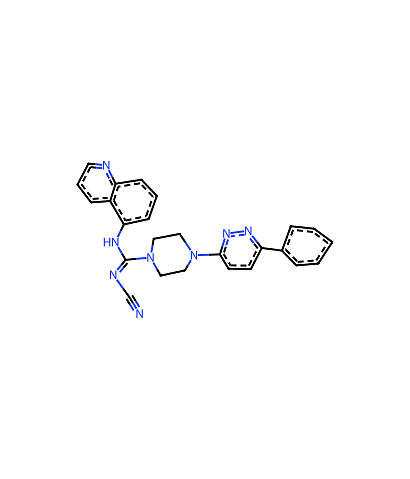 N#C/N=C(/Nc1cccc2ncccc12)N1CCN(c2ccc(-c3ccccc3)nn2)CC1